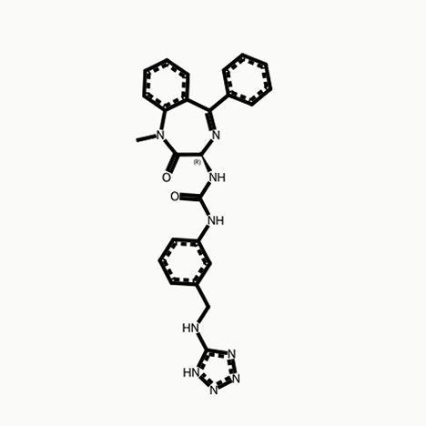 CN1C(=O)[C@H](NC(=O)Nc2cccc(CNc3nnn[nH]3)c2)N=C(c2ccccc2)c2ccccc21